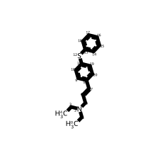 CCN(CC)CC=Cc1ccc(Sc2ccccc2)cc1